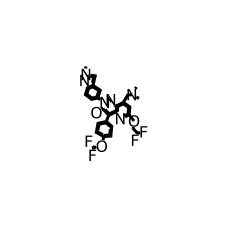 CN(C)Cc1cc(OCC(F)F)nc2c(-c3ccc(OC(F)F)cc3)c(=O)n(-c3ccc4nn(C)cc4c3)nc12